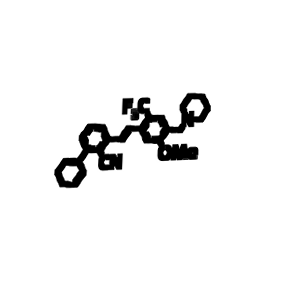 COc1cc(/C=C/c2cccc(C3=CCCC=C3)c2C#N)c(C(F)(F)F)cc1CN1CCCCC1